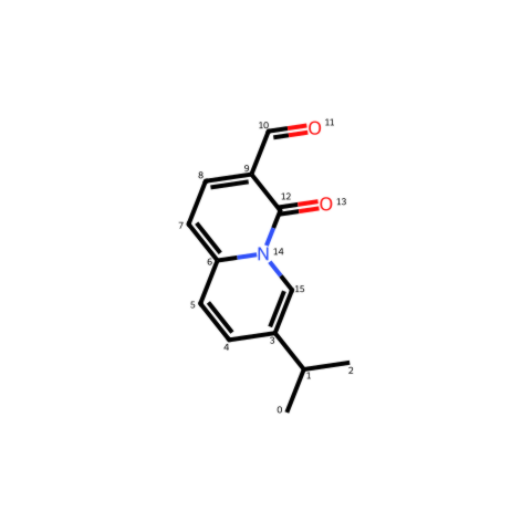 CC(C)c1ccc2ccc(C=O)c(=O)n2c1